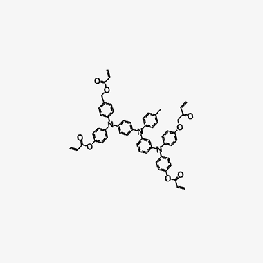 C=CC(=O)COc1ccc(N(c2ccc(OC(=O)C=C)cc2)c2cccc(N(c3ccc(C)cc3)c3ccc(N(c4ccc(COC(=O)C=C)cc4)c4ccc(OC(=O)C=C)cc4)cc3)c2)cc1